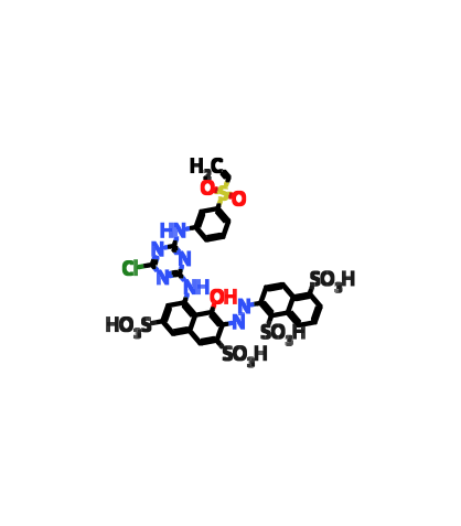 C=CS(=O)(=O)c1cccc(Nc2nc(Cl)nc(Nc3cc(S(=O)(=O)O)cc4cc(S(=O)(=O)O)c(N=Nc5ccc6c(S(=O)(=O)O)cccc6c5S(=O)(=O)O)c(O)c34)n2)c1